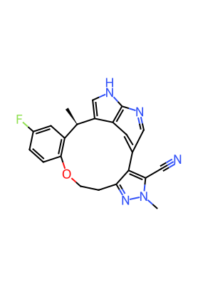 C[C@@H]1c2cc(F)ccc2OCCc2nn(C)c(C#N)c2-c2cnc3[nH]cc1c3c2